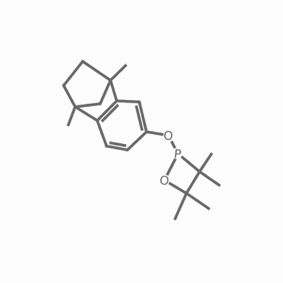 CC12CCC(C)(C1)c1cc(OP3OC(C)(C)C3(C)C)ccc12